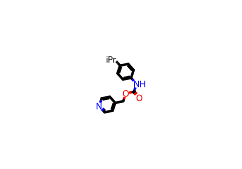 CC(C)c1ccc(NC(=O)OCc2ccncc2)cc1